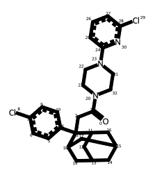 O=C(CC1(c2ccc(Cl)cc2)C2CC3CC(C2)CC1C3)N1CCN(c2cccc(Cl)n2)CC1